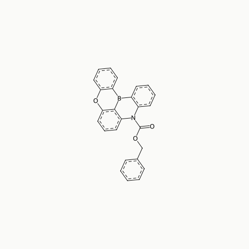 O=C(OCc1ccccc1)N1c2ccccc2B2c3ccccc3Oc3cccc1c32